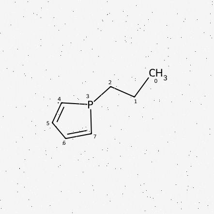 CCCp1[c]ccc1